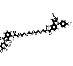 CN1C(=O)CCC(N2C(=O)c3cccc(NC(=O)COCCOCCOCCOCCNC(=O)c4ccc5c(c4)c4cn(C)nc4n5-c4ccc(C(F)(F)F)cc4)c3C2=O)C1=O